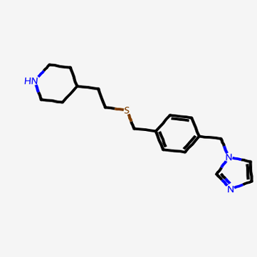 c1cn(Cc2ccc(CSCCC3CCNCC3)cc2)cn1